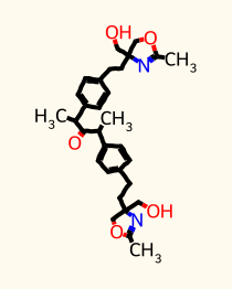 CC1=NC(CO)(CCc2ccc(C(C)C(=O)C(C)c3ccc(CCC4(CO)COC(C)=N4)cc3)cc2)CO1